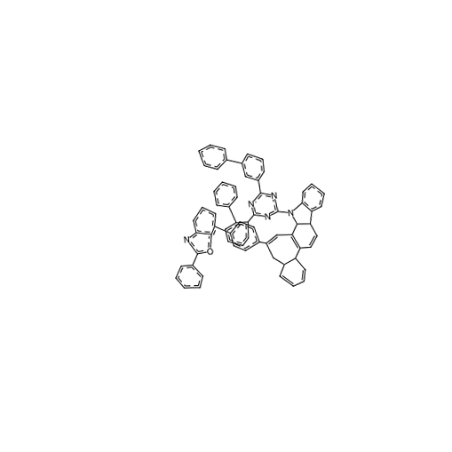 C1=CC2CC(c3ccc(-c4cccc5nc(-c6ccccc6)oc45)cc3)=CC3=C(C=CC4c5ccccc5N(c5nc(-c6cccc(-c7ccccc7)c6)nc(-c6ccccc6-c6ccccc6)n5)C34)C2C=C1